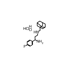 Cl.Cl.NC(CCNCC12CC3CC(CC(C3)C1)C2)c1ccc(F)cc1